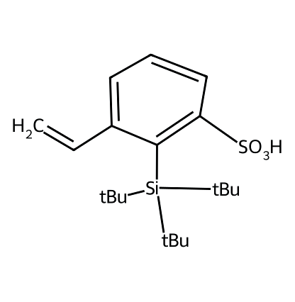 C=Cc1cccc(S(=O)(=O)O)c1[Si](C(C)(C)C)(C(C)(C)C)C(C)(C)C